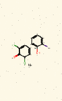 O=C1C(Cl)=CC=CC1Cl.Oc1ccccc1I.[Na]